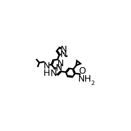 CC(C)CNc1cc(-c2ccnn2C)nn2c(-c3ccc(C(N)=O)c(C4CC4)c3)cnc12